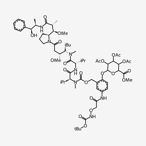 CC[C@H](C)[C@@H]([C@@H](CC(=O)N1CCC[C@H]1[C@H](OC)[C@@H](C)C(=O)N[C@H](C)[C@@H](O)c1ccccc1)OC)N(C)C(=O)[C@@H](NC(=O)[C@H](C(C)C)N(C)C(=O)OCc1cc(NC(=O)CONC(=O)OC(C)(C)C)ccc1OC1OC(C(=O)OC)C(OC(C)=O)C(OC(C)=O)C1OC(C)=O)C(C)C